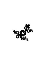 CCOC(=O)C1(CN)CCN(C(O)OC(C)(C)C)CC1